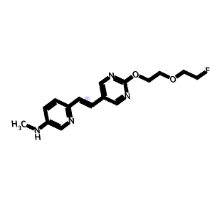 CNc1ccc(/C=C/c2cnc(OCCOCCF)nc2)nc1